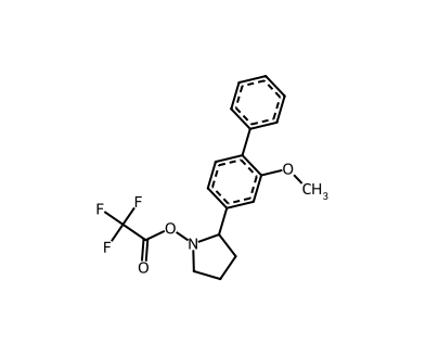 COc1cc(C2CCCN2OC(=O)C(F)(F)F)ccc1-c1ccccc1